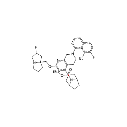 CCc1c(F)ccc2cccc(N3CCc4c(nc(OC[C@@]56CCCN5C[C@H](F)C6)nc4C4CC5CCC(C4)N5C(=O)OC(C)(C)C)C3)c12